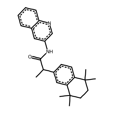 CC(C(=O)Nc1cnc2ccccc2c1)c1ccc2c(c1)C(C)(C)CCC2(C)C